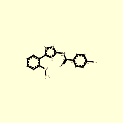 COc1ccccc1-c1nnc(NC(=O)c2ccc(F)cc2)s1